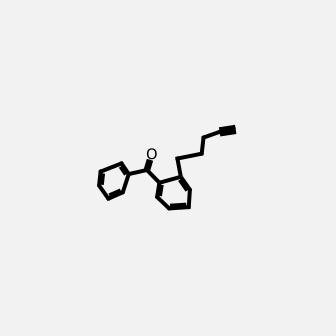 C#CCCCc1ccccc1C(=O)c1ccccc1